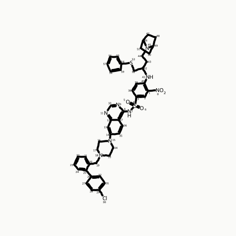 O=[N+]([O-])c1cc(S(=O)(=O)Nc2ncnc3cc(N4CCN(Cc5ccccc5-c5ccc(Cl)cc5)CC4)ccc23)ccc1NC(CCN1C2CCC1CC2)CSc1ccccc1